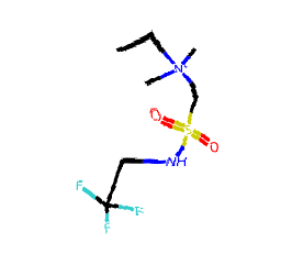 CC[N+](C)(C)CS(=O)(=O)NCC(F)(F)F